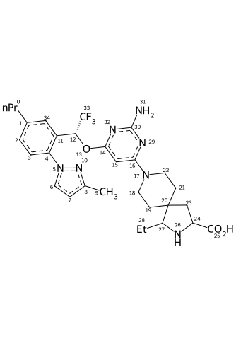 CCCc1ccc(-n2ccc(C)n2)c([C@@H](Oc2cc(N3CCC4(CC3)CC(C(=O)O)NC4CC)nc(N)n2)C(F)(F)F)c1